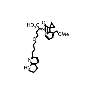 COCc1cccnc1C1(C(=O)N[C@@H](CCOCCCCc2ccc3c(n2)NCCC3)C(=O)O)CC1